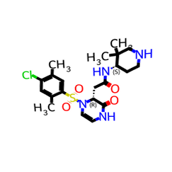 Cc1cc(S(=O)(=O)N2C=CNC(=O)[C@H]2CC(=O)N[C@H]2CCNCC2(C)C)c(C)cc1Cl